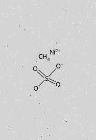 C.O=S(=O)([O-])[O-].[Ni+2]